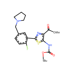 COC(=O)c1nc(-c2cc(CN3CCCC3)ccc2F)sc1NC(=O)OC(C)(C)C